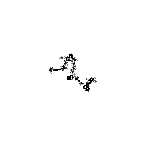 CC[C@H](C)[C@@H]([C@@H](CC(=O)N1CCC[C@H]1[C@H](OC)[C@@H](C)C(=O)NCC(=O)NCC(=O)NCC(=O)N[C@H](Cc1ccccc1)C(=O)NCC(=O)NCOCC(=O)NC1CCc2c(C)c(F)cc3nc4c(c1c23)Cn1c-4cc2c(c1=O)COC(=O)[C@@H]2O)OC)N(C)C(=O)CNC(=O)C(C(C)C)N(C)C(=O)CCCCCN1C(=O)C=CC1=O